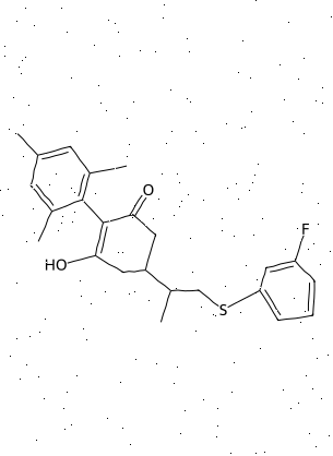 Cc1cc(C)c(C2=C(O)CC(C(C)CSc3cccc(F)c3)CC2=O)c(C)c1